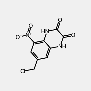 O=c1[nH]c2cc(CCl)cc([N+](=O)[O-])c2[nH]c1=O